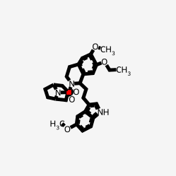 CCOc1cc2c(cc1OC)CCN(C(=O)N1C3CCC1CC(=O)C3)C2CCc1c[nH]c2ccc(OC)cc12